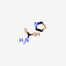 NC(=S)S.c1cscn1